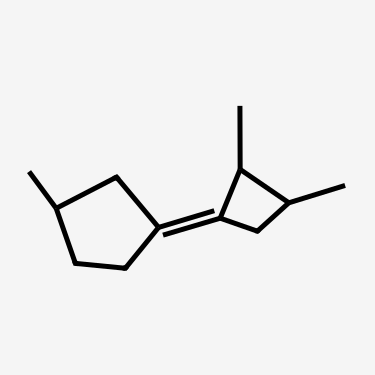 CC1CCC(=C2CC(C)C2C)C1